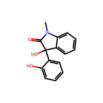 CN1C(=O)C(O)(c2ccccc2O)c2ccccc21